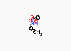 CCc1cccc(CNC(=O)n2oc3ccccc3c2=O)c1